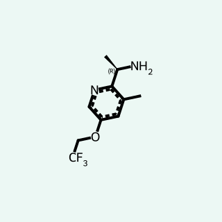 Cc1cc(OCC(F)(F)F)cnc1[C@@H](C)N